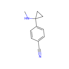 CNC1(c2ccc(C#N)cc2)CC1